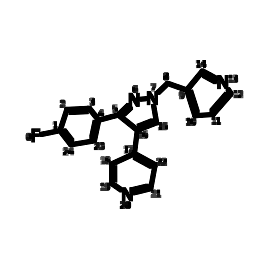 Fc1ccc(-c2nn(Cc3cccnc3)cc2-c2ccncc2)cc1